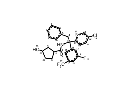 O=C(N[C@@](Cc1ccccc1)(c1cc(F)cc(C(F)(F)F)c1)c1ccc(Cl)cn1)C1CCC(O)C1